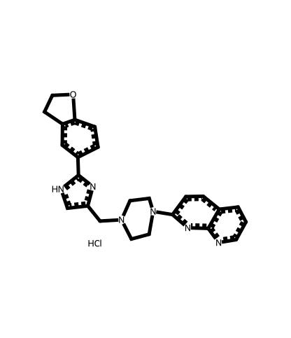 Cl.c1cnc2nc(N3CCN(Cc4c[nH]c(-c5ccc6c(c5)CCO6)n4)CC3)ccc2c1